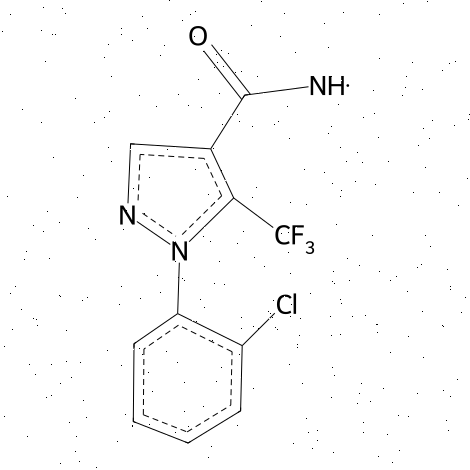 [NH]C(=O)c1cnn(-c2ccccc2Cl)c1C(F)(F)F